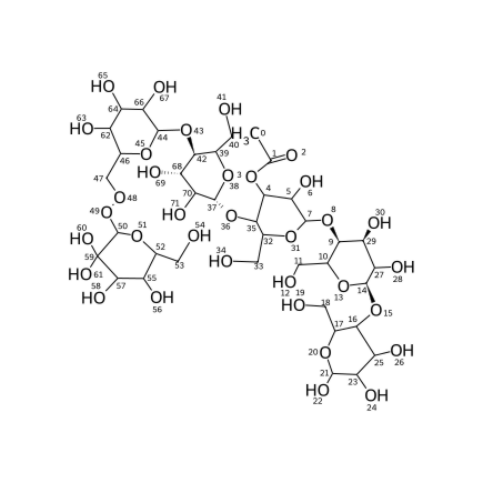 CC(=O)OC1C(O)C(O[C@@H]2C(CO)O[C@H](OC3C(CO)OC(O)C(O)C3O)C(O)[C@@H]2O)OC(CO)C1O[C@H]1OC(CO)[C@H](OC2OC(COOC3OC(CO)C(O)C(O)C3(O)O)C(O)C(O)C2O)[C@@H](O)C1O